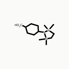 C[Si]1(C)CC[Si](C)(C)N1C1CCC(C(=O)O)CC1